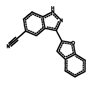 N#Cc1ccc2[nH]nc(-c3cc4ccccc4o3)c2c1